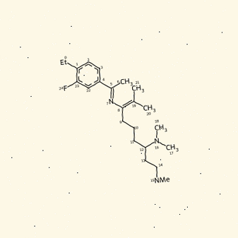 CCc1ccc(/C(C)=N/C(CCCC(CCNC)N(C)C)=C(C)C)cc1F